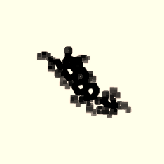 CCCNC[C@@H](O)[C@@]12CC[C@]3(C)[C@H](CCC4[C@@]5(C)CC[C@H](OC(=O)CC(C)(C)C(=O)O)C(C)(C)C5CC[C@]43C)C1=C(C(C)C)C(=O)C2